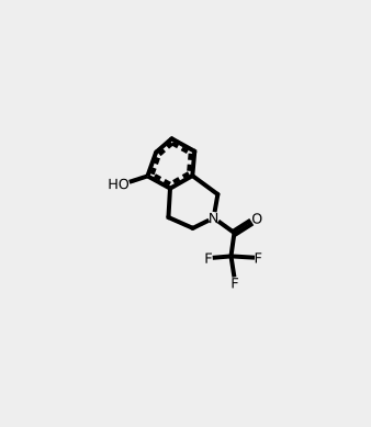 O=C(N1CCc2c(O)cccc2C1)C(F)(F)F